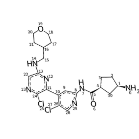 N[C@@H]1CC[C@H](C(=O)Nc2cc(-c3nc(NCC4CCOCC4)cnc3Cl)c(Cl)cn2)C1